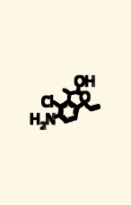 C=CCc1ccc(N)c(Cl)c1C(C)C(=O)O